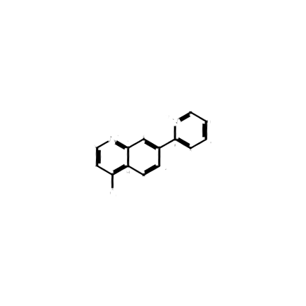 Clc1ccnc2cc(-c3ccccn3)ccc12